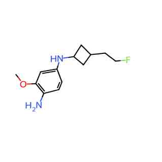 COc1cc(NC2CC(CCF)C2)ccc1N